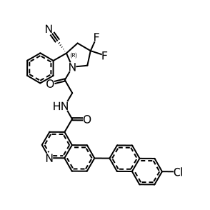 N#C[C@]1(c2ccccc2)CC(F)(F)CN1C(=O)CNC(=O)c1ccnc2ccc(-c3ccc4cc(Cl)ccc4c3)cc12